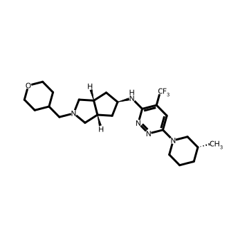 C[C@@H]1CCCN(c2cc(C(F)(F)F)c(N[C@H]3C[C@@H]4CN(CC5CCOCC5)C[C@@H]4C3)nn2)C1